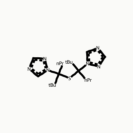 CCCC(SC(CCC)(n1cncn1)C(C)(C)C)(n1cncn1)C(C)(C)C